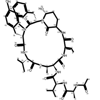 C/C=C1\NC(=O)[C@@H](NC(=O)[C@@H](NC(=O)[C@H](C)NC(C)=O)C(C)C)[C@@H](C)OC(=O)[C@H](C(C)C)NC(=O)[C@H](Cc2ccc(O)cc2)N(C)C(=O)[C@H](Cc2ccccc2)N2C(=O)[C@H](CC[C@H]2O)NC1=O